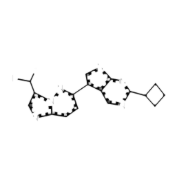 FC(F)c1cnc2ccc(-c3c[nH]c4nc(C5CCC5)ncc34)nn12